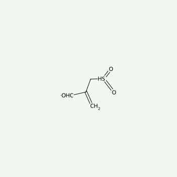 C=C([C]=O)C[SH](=O)=O